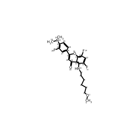 COCCCCCCNc1c(F)cc(F)c2oc(-c3ccc(N(C)C)c(F)c3)cc(=O)c12